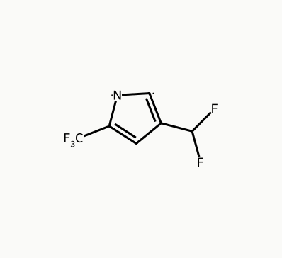 FC(F)C1=[C][N]C(C(F)(F)F)=C1